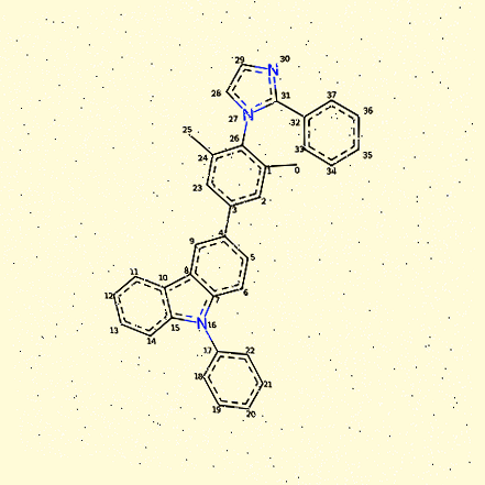 Cc1cc(-c2ccc3c(c2)c2ccccc2n3-c2ccccc2)cc(C)c1-n1ccnc1-c1ccccc1